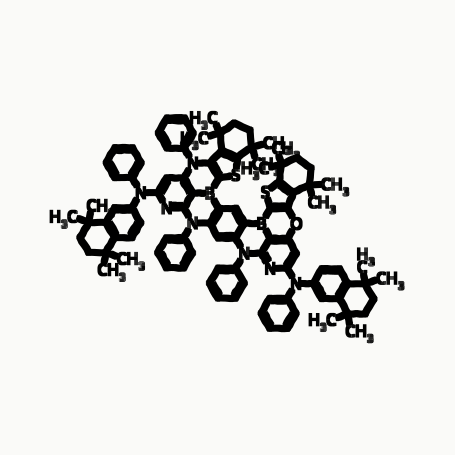 CC1(C)CCC(C)(C)c2cc(N(c3ccccc3)c3cc4c5c(n3)N(c3ccccc3)c3cc6c(cc3B5c3sc5c(c3O4)C(C)(C)CCC5(C)C)B3c4sc5c(c4N(c4ccccc4)c4cc(N(c7ccccc7)c7ccc8c(c7)C(C)(C)CCC8(C)C)nc(c43)N6c3ccccc3)C(C)(C)CCC5(C)C)ccc21